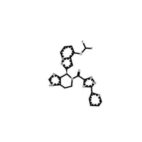 O=C(c1nnc(-c2ccccn2)o1)N1CCc2[nH]cnc2[C@H]1c1cc2c(OC(F)F)cccn2n1